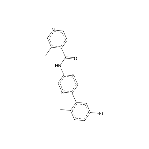 CCc1ccc(C)c(-c2cnc(NC(=O)c3ccncc3C)cn2)c1